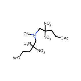 CC(=O)OCCC(CN(CC(CCOC(C)=O)([N+](=O)[O-])[N+](=O)[O-])N=O)([N+](=O)[O-])[N+](=O)[O-]